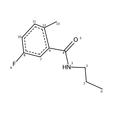 CCCNC(=O)c1cc(F)ccc1C